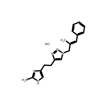 C/C(=C\c1ccccc1)Cn1cc(CCc2c[nH]c(N)n2)nn1.Cl